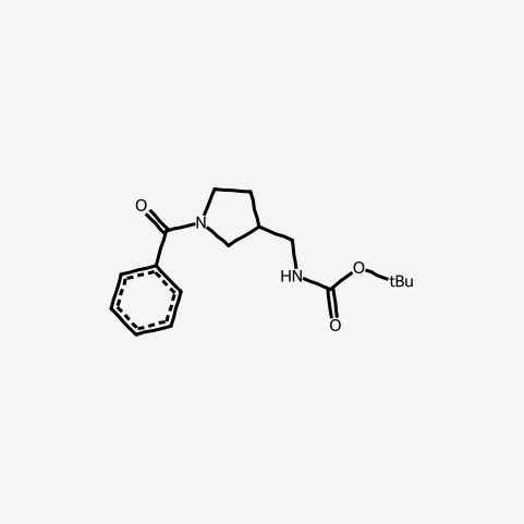 CC(C)(C)OC(=O)NCC1CCN(C(=O)c2ccccc2)C1